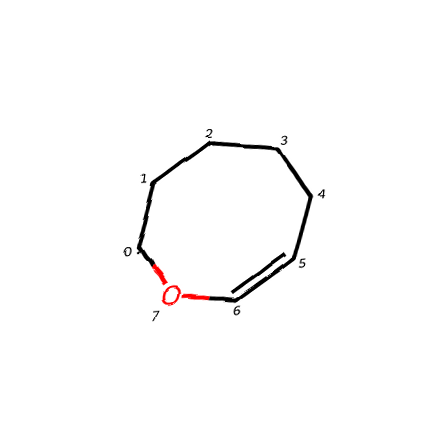 [CH]1CCCCC=CO1